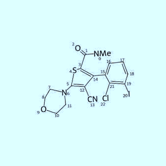 CNC(=O)c1sc(N2CCOCC2)c(C#N)c1-c1cccc(I)c1Cl